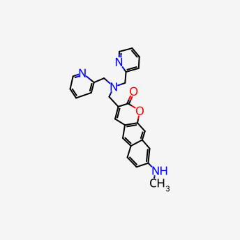 CNc1ccc2cc3cc(CN(Cc4ccccn4)Cc4ccccn4)c(=O)oc3cc2c1